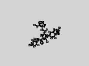 C=C/C(C#N)=C(F)\C=C(/C)c1nc(C(=O)N[C@@H]2CCN(C)C2)c(C)n1-c1ccc2nn(C)cc2c1